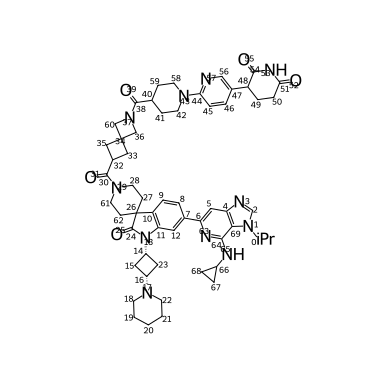 CC(C)n1cnc2cc(-c3ccc4c(c3)N([C@H]3C[C@@H](N5CCCCC5)C3)C(=O)C43CCN(C(=O)C4CC5(C4)CN(C(=O)C4CCN(c6ccc(C7CCC(=O)NC7=O)cn6)CC4)C5)CC3)nc(NC3CC3)c21